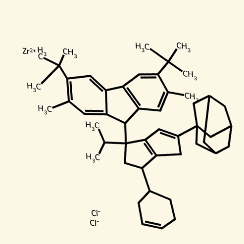 Cc1cc2c(cc1C(C)(C)C)-c1cc(C(C)(C)C)c(C)cc1C2C1(C(C)C)CC(C2CC=CCC2)C2=C1C=C(C13CC4CC(CC(C4)C1)C3)C2.[Cl-].[Cl-].[Zr+2]